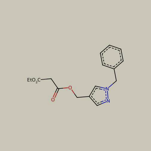 CCOC(=O)CC(=O)OCc1cnn(Cc2ccccc2)c1